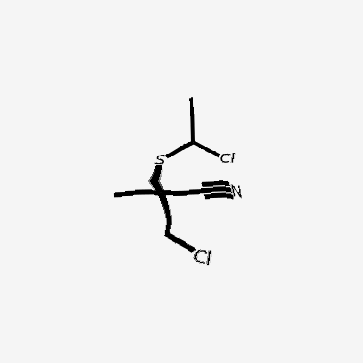 CC(Cl)SC(C)(C#N)CCl